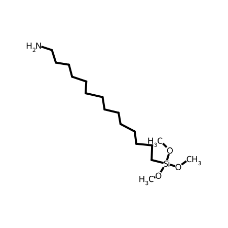 CO[Si](CCCCCCCCCCCCCCN)(OC)OC